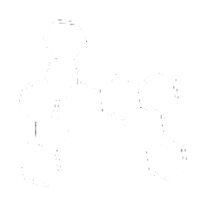 c1ccc(-c2cccc3nc(-n4c5ccccc5c5ccc6c7ccccc7sc6c54)ccc23)cc1